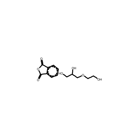 O=C1OC(=O)c2ccccc21.OCCOCC(O)CO